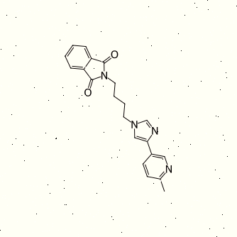 Cc1ccc(-c2cn(CCCCN3C(=O)c4ccccc4C3=O)cn2)cn1